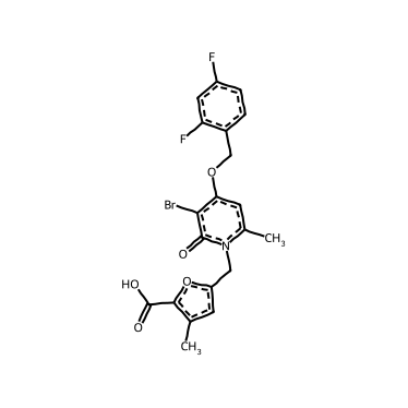 Cc1cc(Cn2c(C)cc(OCc3ccc(F)cc3F)c(Br)c2=O)oc1C(=O)O